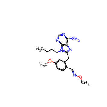 CCCCn1c(Cc2cc(OC)ccc2C=NOC)nc2c(N)ncnc21